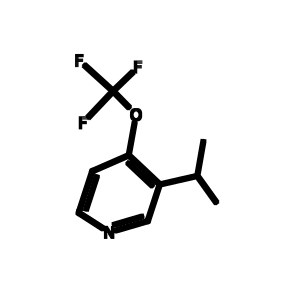 CC(C)c1cnccc1OC(F)(F)F